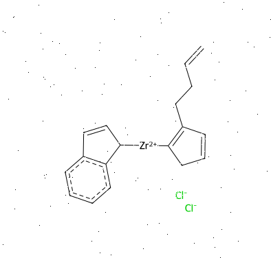 C=CCCC1=[C]([Zr+2][CH]2C=Cc3ccccc32)CC=C1.[Cl-].[Cl-]